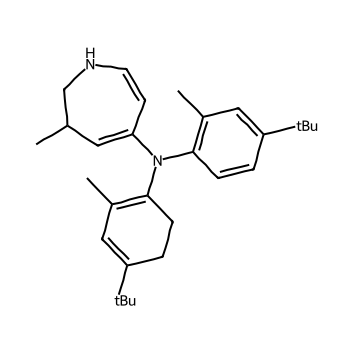 CC1=C(N(C2=CC(C)CNC=C2)c2ccc(C(C)(C)C)cc2C)CCC(C(C)(C)C)=C1